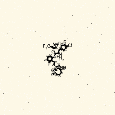 Cn1nc(C(F)(F)F)cc1[C@H](c1ccc(Cl)c(F)c1)[C@H](N)C(=O)Nc1cccc(F)c1CC[C@H]1CN[C@@H]2CCCS(=O)(=O)N1C2